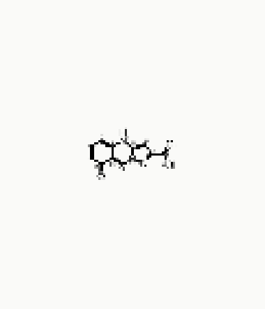 O=C(O)c1cc2[nH]c3cccc(=O)c-3cn2n1